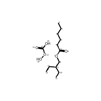 CCCCCC(=O)OCC(CC)CC.O=C(O)OO